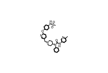 Cc1ccc(NC(=O)N(c2ccccc2)C2CCN(Cc3ccc(Oc4ccc(NS(C)(=O)=O)cc4)nc3)CC2)cn1